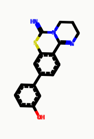 N=C1Sc2cc(-c3cccc(O)c3)ccc2C2=NCCCN12